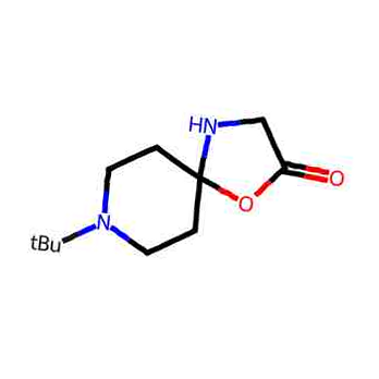 CC(C)(C)N1CCC2(CC1)NCC(=O)O2